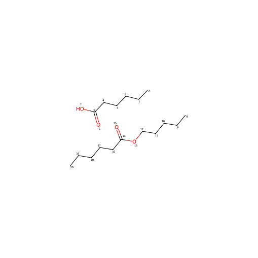 CCCCCC(=O)O.CCCCCOC(=O)CCCCC